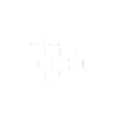 O=P(O)(O)c1ccc2ccccc2c1Nc1ccccc1